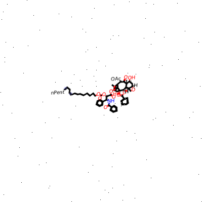 CCCCC/C=C\C/C=C\CCCCCCCCOC(=O)O[C@@H](C(=O)O[C@H]1C[C@@]2(O)[C@@H](OC(=O)c3ccccc3)[C@@H]3[C@@H]4CO[C@@H]4C[C@H](O)[C@@]3(C)C(=O)[C@H](OC(C)=O)C(=C1C)C2(C)C)[C@@H](NC(=O)c1ccccc1)c1ccccc1